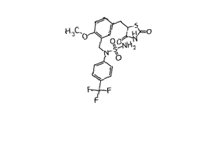 COc1ccc(CC2SC(=O)NC2=O)cc1CN(c1ccc(C(F)(F)F)cc1)S(N)(=O)=O